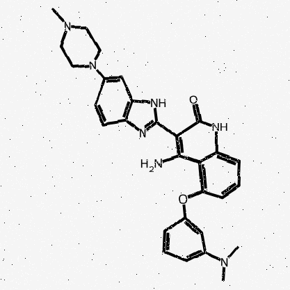 CN1CCN(c2ccc3nc(-c4c(N)c5c(Oc6cccc(N(C)C)c6)cccc5[nH]c4=O)[nH]c3c2)CC1